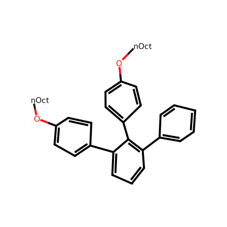 CCCCCCCCOc1ccc(-c2cccc(-c3ccccc3)c2-c2ccc(OCCCCCCCC)cc2)cc1